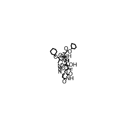 CC(NP(=O)(NC(C)C(=O)OC1CCCCC1)OC1[C@@]2(CN=[N+]=[N-])O[C@@H](n3ccc(=O)[nH]c3=O)[C@H](F)[C@@]12O)C(=O)OC1CCCCC1